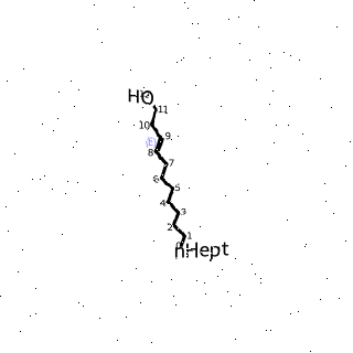 CCCCCCCCCCCCCC/C=C/CCO